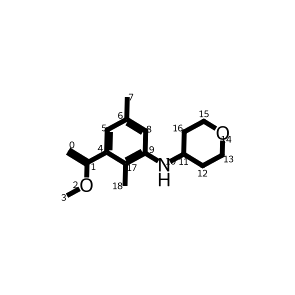 C=C(OC)c1cc(C)cc(NC2CCOCC2)c1C